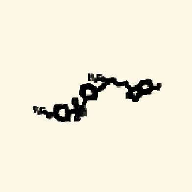 CN(CCCc1noc2cc(F)ccc12)Cc1cccc(NS(=O)(=O)c2ccc(OC(F)(F)F)cc2)c1